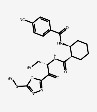 CC(C)C[C@H](NC(=O)[C@@H]1CCCC[C@@H]1NC(=O)c1ccc(C#N)cc1)C(=O)c1nnc(SC(C)C)o1